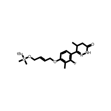 Cc1c(OCC=CCO[Si](C)(C)C(C)(C)C)ccc(C2=NNC(=O)CC2C)c1F